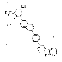 CCc1cc(-c2ccc3cc(-c4ccc(-c5ccc6sc7ccccc7c6c5)cc4)ccc3c2)cc(C(F)(F)F)c1